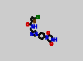 O=C1CN(c2ccc(-n3cnc(CNC(=O)c4ccc(Cl)s4)c3)cc2)C(=O)CN1